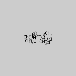 CCN1C(=CC=C2CCCn3c2[n+](CC)c2cc(Cl)c(Cl)cc23)N(CC)c2cc(Cl)c(Cl)cc21